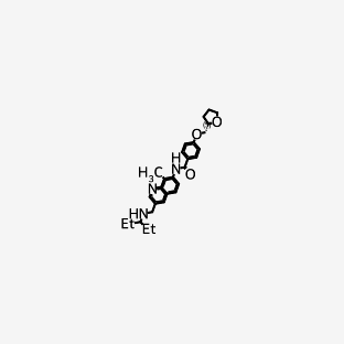 CCC(CC)NCc1cnc2c(C)c(NC(=O)c3ccc(OC[C@@H]4CCCO4)cc3)ccc2c1